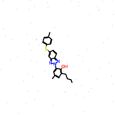 CCCCc1cc(C)cc(-n2nc3ccc(Sc4ccc(C)cc4)cc3n2)c1O